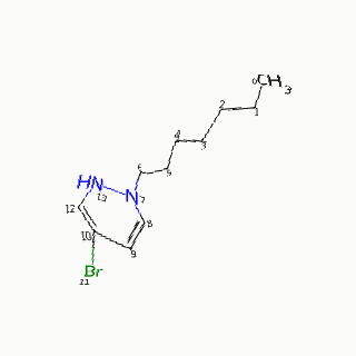 CCCCCCCN1C=CC(Br)=CN1